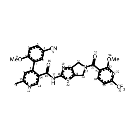 COc1ccc(C#N)cc1-c1cc(C)ncc1C(=O)Nc1nc2c(s1)CN(C(=O)c1ccc(C(F)(F)F)nc1OC)C2